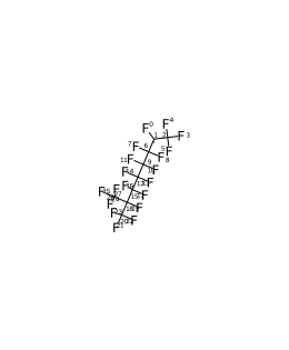 F[C](C(F)(F)F)C(F)(F)C(F)(F)C(F)(F)C(F)(F)C(F)(C(F)(F)F)C(F)(F)F